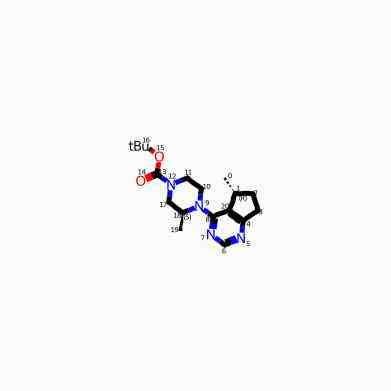 C[C@@H]1CCc2ncnc(N3CCN(C(=O)OC(C)(C)C)C[C@@H]3C)c21